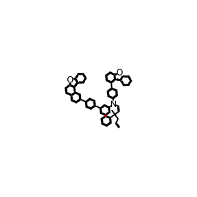 C=CCC(C)(/C=C\N(c1ccc(-c2cccc3oc4ccccc4c23)cc1)c1cccc(-c2ccc(-c3ccc4ccc5oc6ccccc6c5c4c3)cc2)c1)c1ccccc1